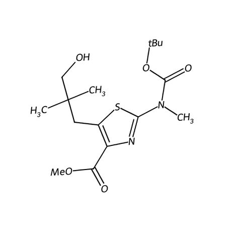 COC(=O)c1nc(N(C)C(=O)OC(C)(C)C)sc1CC(C)(C)CO